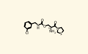 N[C@@H](COC(=O)NCc1cccc(Cl)c1)C(=O)N1CCSC1